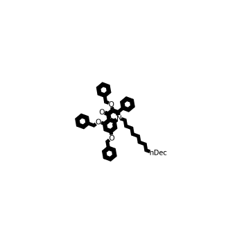 CCCCCCCCCCCCCCCCCCn1c(-c2ccccc2)c(OCc2ccccc2)c(=O)c2c(OCc3ccccc3)cc(OCc3ccccc3)cc21